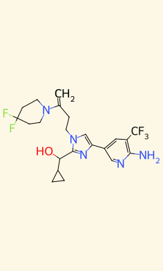 C=C(CCn1cc(-c2cnc(N)c(C(F)(F)F)c2)nc1C(O)C1CC1)N1CCC(F)(F)CC1